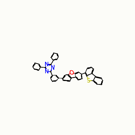 c1ccc(-c2nc(-c3ccccc3)nc(-c3cccc(-c4ccc5c(c4)oc4cc(-c6cccc7c6sc6ccccc67)ccc45)c3)n2)cc1